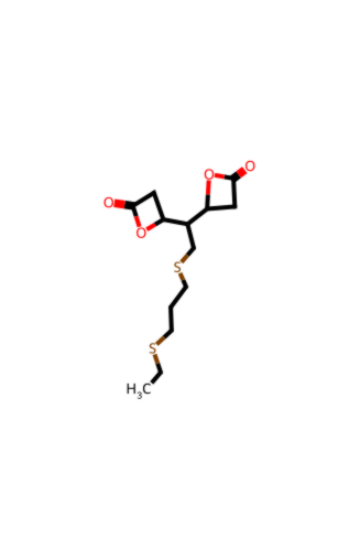 CCSCCCSCC(C1CC(=O)O1)C1CC(=O)O1